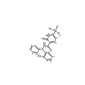 O=C(NC1c2ccccc2Oc2cnccc21)c1ccc(C(F)(F)F)[nH]c1=O